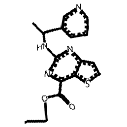 CCOC(=O)c1nc(NC(C)c2cccnc2)nc2ccsc12